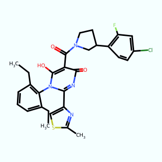 CCc1cccc(CC)c1-n1c(-c2csc(C)n2)nc(=O)c(C(=O)N2CCC(c3ccc(Cl)cc3F)C2)c1O